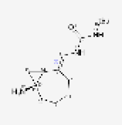 CC(C)(C)NC(=O)N/C=C1\CCCC[C@]2(N)CC12